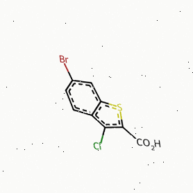 O=C(O)c1sc2cc(Br)ccc2c1Cl